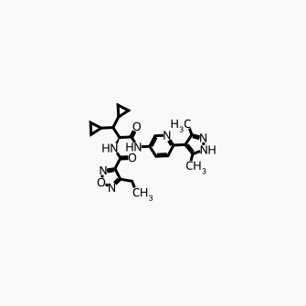 CCc1nonc1C(=O)N[C@H](C(=O)Nc1ccc(-c2c(C)n[nH]c2C)nc1)C(C1CC1)C1CC1